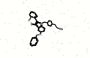 OCCc1ccc(Cn2c(-c3ccccc3Cl)c(F)c3cc(OCc4ccccc4)ccc32)cc1